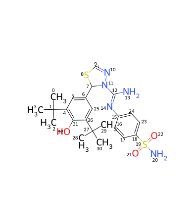 CC(C)(C)c1cc(C2S[C]=NN2C(N)=Nc2ccc(S(N)(=O)=O)cc2)cc(C(C)(C)C)c1O